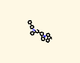 C/C=C(\C=C1/CN(c2ccc(-c3ccccc3)cc2)c2ccccc21)c1ccc2c(c1)c1ccccc1n2-c1cccc2c1-c1ccccc1C2(C)C